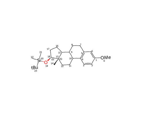 COc1ccc2c(c1)CCC1C2CC[C@@]2(C)C1CC[C@@H]2O[Si](C)(C)C(C)(C)C